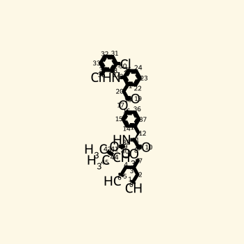 C#CCC(CC#C)COC(=O)[C@H](Cc1ccc(OC(=O)Cc2ccccc2Nc2c(Cl)cccc2Cl)cc1)NC(=O)OC(C)(C)C